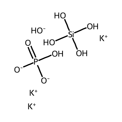 O=P([O-])([O-])O.O[Si](O)(O)O.[K+].[K+].[K+].[OH-]